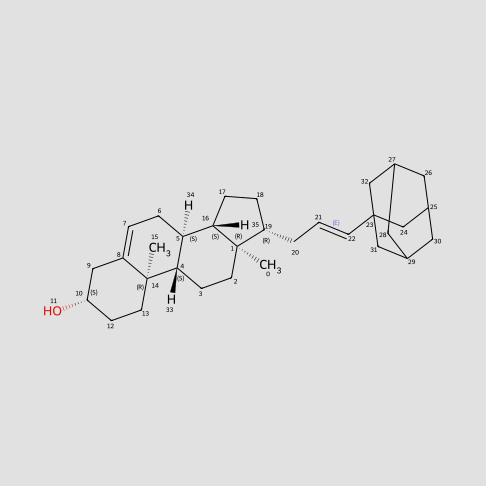 C[C@]12CC[C@H]3[C@@H](CC=C4C[C@@H](O)CC[C@@]43C)[C@@H]1CC[C@@H]2C/C=C/C12CC3CC(CC(C3)C1)C2